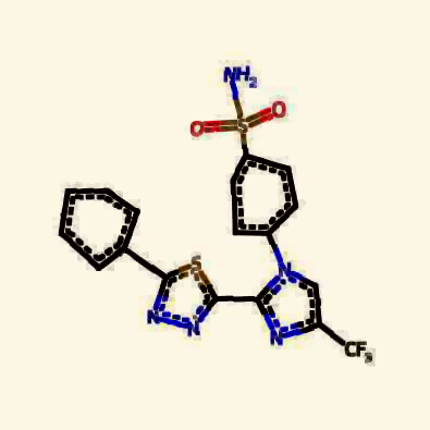 NS(=O)(=O)c1ccc(-n2cc(C(F)(F)F)nc2-c2nnc(-c3ccccc3)s2)cc1